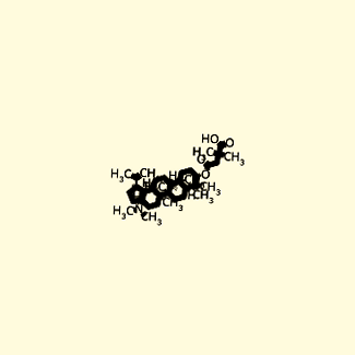 C=C(C)[C@@H]1CC[C@]2(N(C)C)CC[C@]3(C)[C@H](CC[C@@H]4[C@@]5(C)CC[C@H](OC(=O)CC(C)(C)C(=O)O)C(C)(C)[C@@H]5CC[C@]43C)[C@@H]12